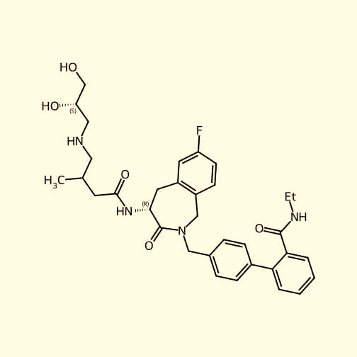 CCNC(=O)c1ccccc1-c1ccc(CN2Cc3ccc(F)cc3C[C@@H](NC(=O)CC(C)CNC[C@H](O)CO)C2=O)cc1